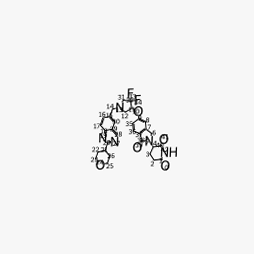 O=C1CCC(N2Cc3cc(OC4CN(Cc5ccc6nc(C7CCOCC7)ncc6c5)CC4(F)F)ccc3C2=O)C(=O)N1